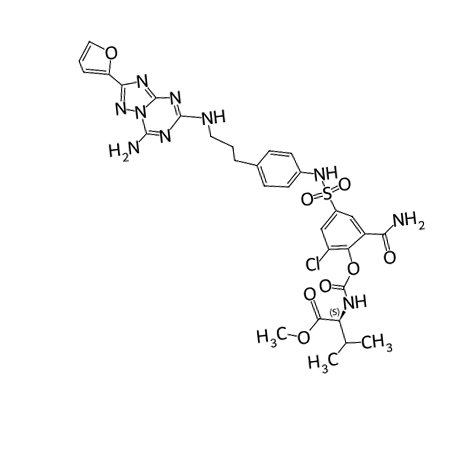 COC(=O)[C@@H](NC(=O)Oc1c(Cl)cc(S(=O)(=O)Nc2ccc(CCCNc3nc(N)n4nc(-c5ccco5)nc4n3)cc2)cc1C(N)=O)C(C)C